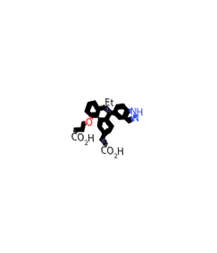 CC/C(=C(/c1ccc(/C=C/C(=O)O)cc1)c1ccc2[nH]ncc2c1)c1cccc(OCCCC(=O)O)c1